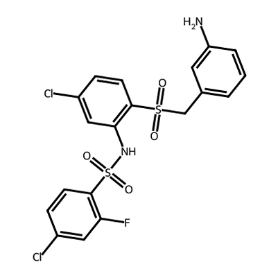 Nc1cccc(CS(=O)(=O)c2ccc(Cl)cc2NS(=O)(=O)c2ccc(Cl)cc2F)c1